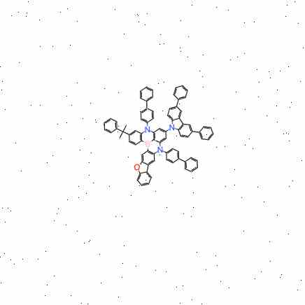 CC(C)(c1ccccc1)c1ccc2c(c1)N(c1ccc(-c3ccccc3)cc1)c1cc(-n3c4ccc(-c5ccccc5)cc4c4cc(-c5ccccc5)ccc43)cc3c1B2c1cc2oc4ccccc4c2cc1N3c1ccc(-c2ccccc2)cc1